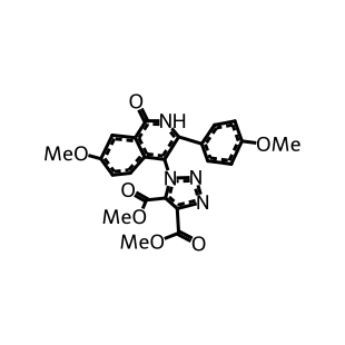 COC(=O)c1nnn(-c2c(-c3ccc(OC)cc3)[nH]c(=O)c3cc(OC)ccc23)c1C(=O)OC